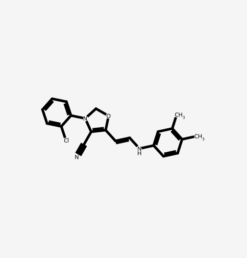 Cc1ccc(N/C=C/C2=C(C#N)N(c3ccccc3Cl)CO2)cc1C